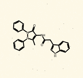 Cc1c(NC(=O)Cc2c[nH]c3ccccc23)c(=O)n(-c2ccccc2)n1-c1ccccc1